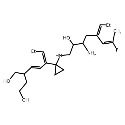 CC/C=C(\C=C(/C)F)CC(N)C(O)CNC1(C(/C=C/C(CO)CCO)=C/CC)CC1